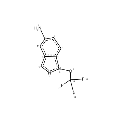 Nc1ccc2c(cnn2OC(F)(F)F)c1